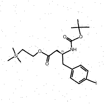 CC(C)(C)OC(=O)N[C@H](CC(=O)OCC[Si](C)(C)C)Cc1ccc(I)cc1